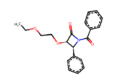 CCOCCO[C@H]1C(=O)N(C(=O)c2ccccc2)[C@H]1c1ccccc1